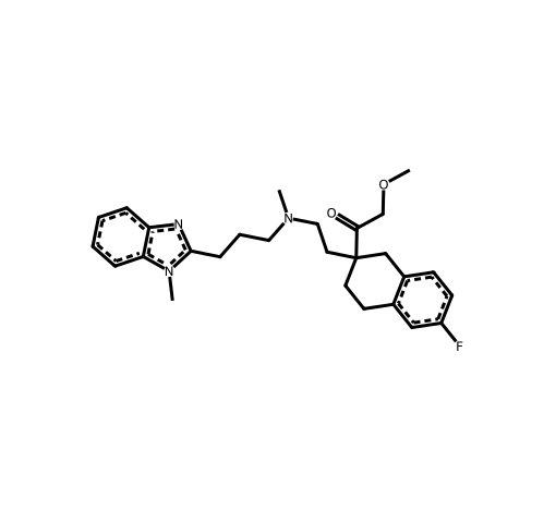 COCC(=O)C1(CCN(C)CCCc2nc3ccccc3n2C)CCc2cc(F)ccc2C1